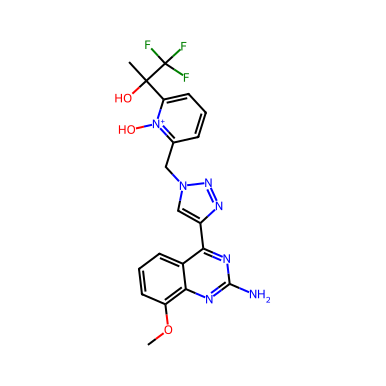 COc1cccc2c(-c3cn(Cc4cccc(C(C)(O)C(F)(F)F)[n+]4O)nn3)nc(N)nc12